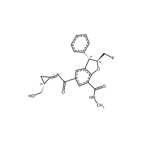 CNC(=O)c1cc(C(=O)/N=C2/C[C@H]2CO)cc2c1O[C@H](CF)[C@H]2c1ccccc1